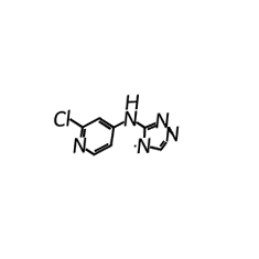 Clc1cc(NC2=NN=C[N]2)ccn1